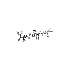 C=C(C)C(=O)OCCNC(=O)OCCOC(=O)C(=C)C(C)C